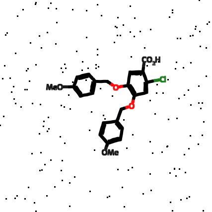 COc1ccc(COc2cc(Cl)c(C(=O)O)cc2OCc2ccc(OC)cc2)cc1